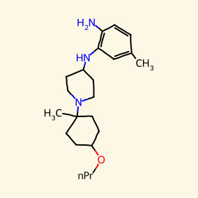 CCCOC1CCC(C)(N2CCC(Nc3cc(C)ccc3N)CC2)CC1